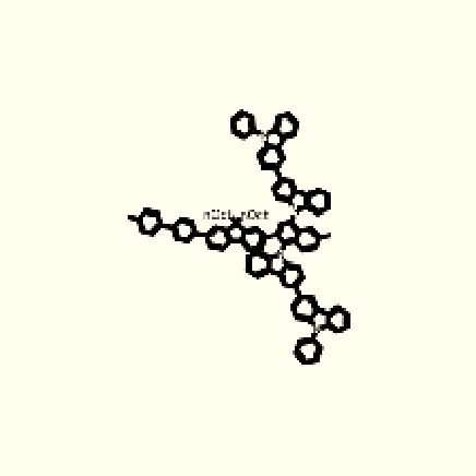 CCCCCCCCC1(CCCCCCCC)c2cc(-c3ccc(-c4ccc(C)cc4)cc3)ccc2-c2ccc(-c3cc(-n4c5ccccc5c5cc(-c6ccc7c(c6)c6ccccc6n7-c6ccccc6)ccc54)c4cc(C)ccc4c3-n3c4ccccc4c4cc(-c5ccc6c(c5)c5ccccc5n6-c5ccccc5)ccc43)cc21